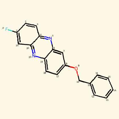 Fc1ccc2nc3cc(OCc4ccccc4)ccc3nc2c1